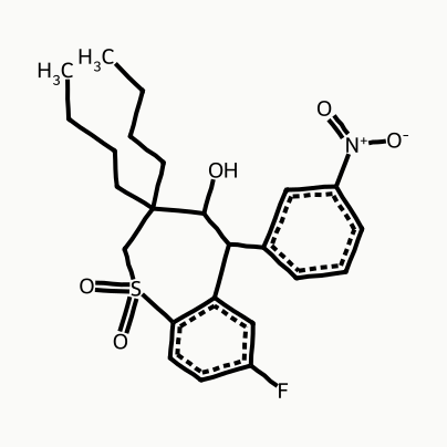 CCCCC1(CCCC)CS(=O)(=O)c2ccc(F)cc2C(c2cccc([N+](=O)[O-])c2)C1O